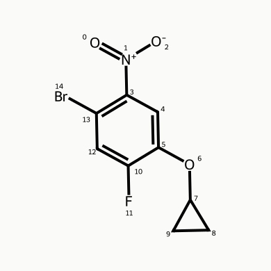 O=[N+]([O-])c1cc(OC2CC2)c(F)cc1Br